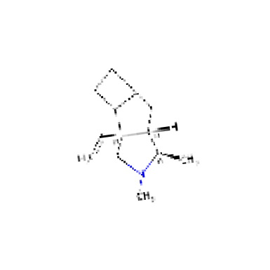 C=C[C@]12CN(C)[C@H](C)[C@H]1CC1CCC12